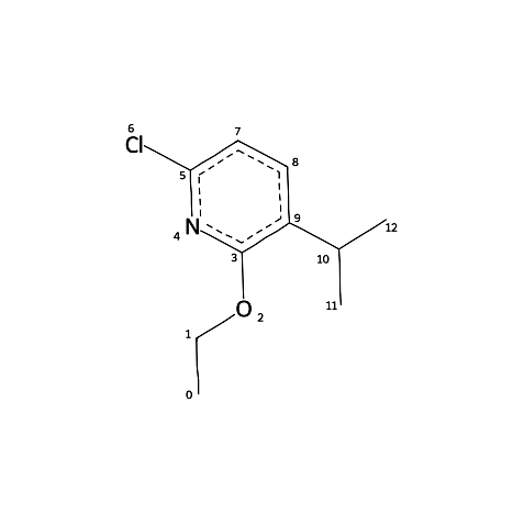 CCOc1nc(Cl)ccc1C(C)C